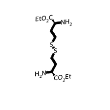 CCOC(=O)[C@@H](N)CCSSCC[C@H](N)C(=O)OCC